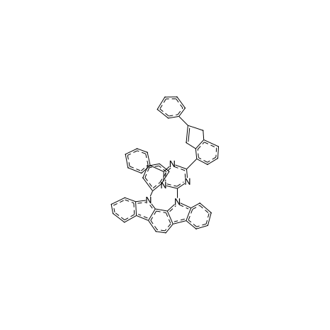 C1=C(c2ccccc2)Cc2cccc(-c3nc(-c4ccccc4)nc(-n4c5ccccc5c5ccc6c7ccccc7n(-c7ccccc7)c6c54)n3)c21